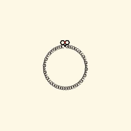 C1CCC(C2(C3CCCCC3)COCCOCCOCCOCCOCCOCCOCCOCCOCCOCCOCCOCCOCCOCCOCCOCCOCCOCCOCCO2)CC1